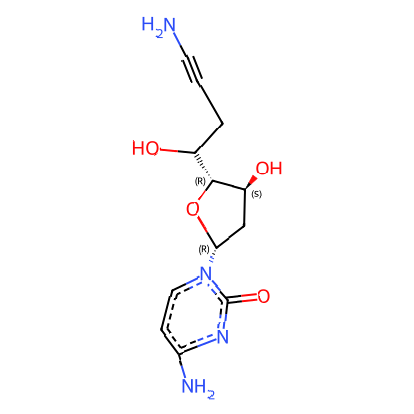 NC#CCC(O)[C@H]1O[C@@H](n2ccc(N)nc2=O)C[C@@H]1O